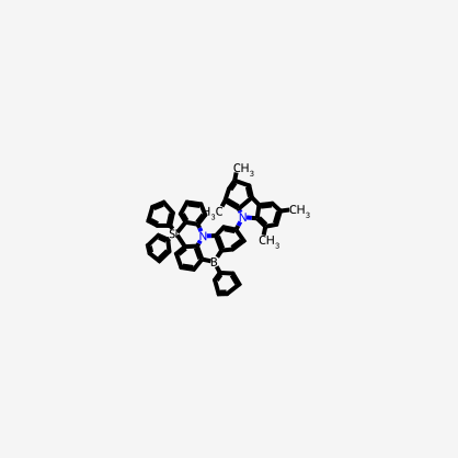 Cc1cc(C)c2c(c1)c1cc(C)cc(C)c1n2-c1ccc2c(c1)N1c3ccccc3[Si](c3ccccc3)(c3ccccc3)c3cccc(c31)B2c1ccccc1